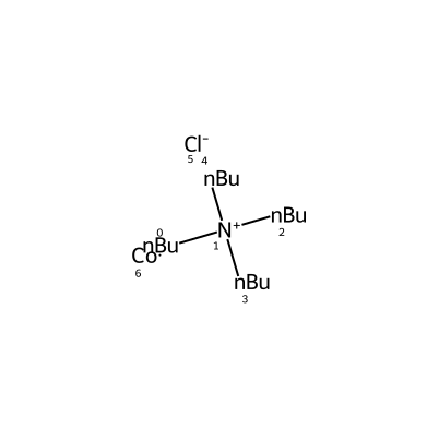 CCCC[N+](CCCC)(CCCC)CCCC.[Cl-].[Co]